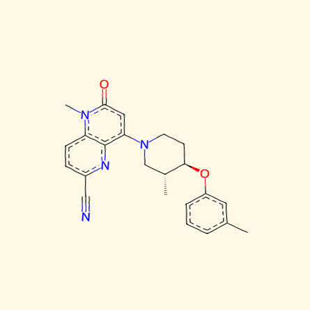 Cc1cccc(O[C@@H]2CCN(c3cc(=O)n(C)c4ccc(C#N)nc34)C[C@H]2C)c1